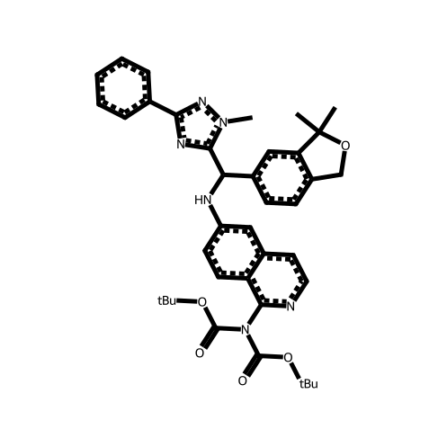 Cn1nc(-c2ccccc2)nc1C(Nc1ccc2c(N(C(=O)OC(C)(C)C)C(=O)OC(C)(C)C)nccc2c1)c1ccc2c(c1)C(C)(C)OC2